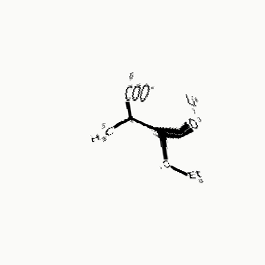 CCOC(=O)C(C)C(=O)[O-].[Li+]